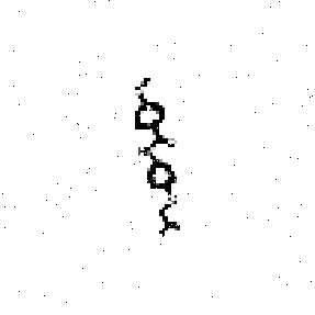 C=C(C)COc1ccc(NC(=O)c2ccc(OC)cc2)cc1